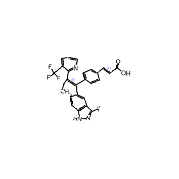 CC/C(=C(/c1ccc(/C=C/C(=O)O)cc1)c1ccc2[nH]nc(F)c2c1)c1ncccc1C(F)(F)F